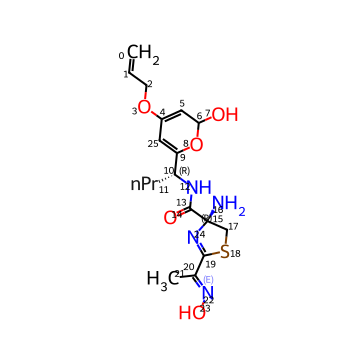 C=CCOC1=CC(O)OC([C@@H](CCC)NC(=O)[C@]2(N)CSC(/C(C)=N/O)=N2)=C1